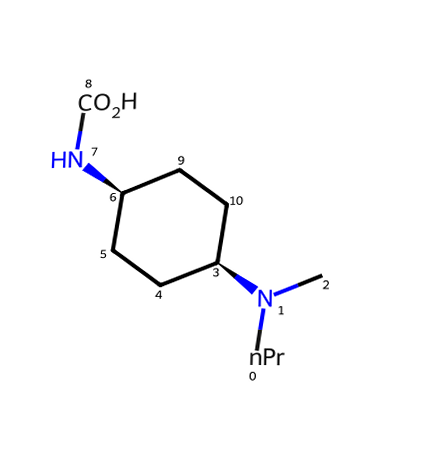 CCCN(C)[C@H]1CC[C@@H](NC(=O)O)CC1